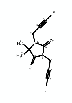 CC1(C)C(=O)N(CC#CI)C(=O)N1CC#CI